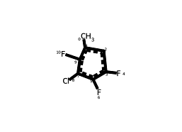 Cc1cc(F)c(F)c(Cl)c1F